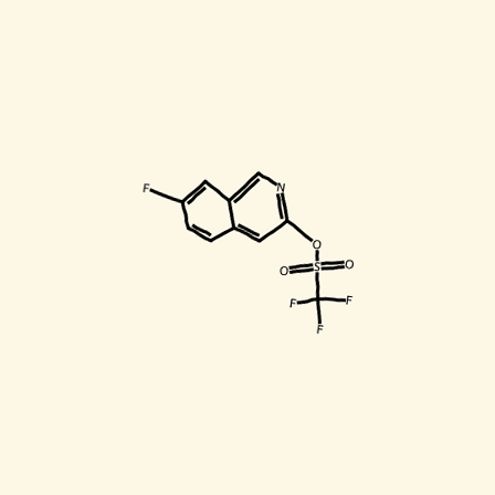 O=S(=O)(Oc1cc2ccc(F)cc2cn1)C(F)(F)F